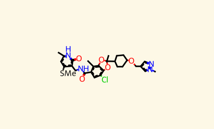 CSc1cc(C)[nH]c(=O)c1CNC(=O)c1cc(Cl)c2c(c1C)OC(C)(C1CCC(OCc3cnn(C)c3)CC1)O2